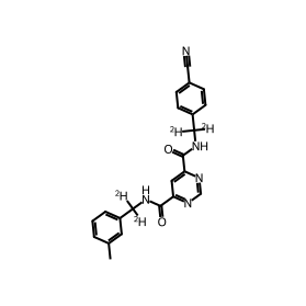 [2H]C([2H])(NC(=O)c1cc(C(=O)NC([2H])([2H])c2cccc(C)c2)ncn1)c1ccc(C#N)cc1